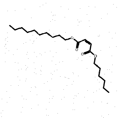 CCCCCCCCCCOC(=O)/C=C\C(=O)OCCCCCC